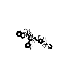 CC1c2ccccc2CCN1C(=O)c1cc(-c2cccc(F)c2)c2nc(-c3ccc(NC(=O)N4CCCC4)cc3F)cn2n1